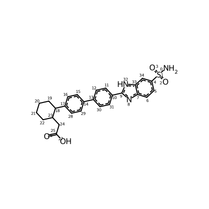 NS(=O)(=O)c1ccc2nc(-c3ccc(-c4ccc(C5CCCCC5CC(=O)O)cc4)cc3)[nH]c2c1